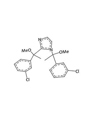 COC(C)(c1cccc(Cl)c1)c1nccn1C(C)(OC)c1cccc(Cl)c1